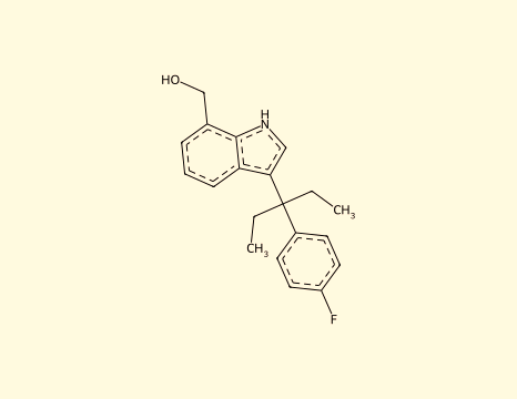 CCC(CC)(c1ccc(F)cc1)c1c[nH]c2c(CO)cccc12